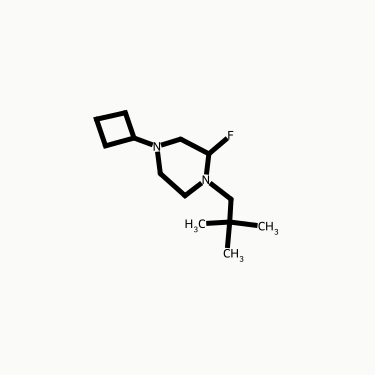 CC(C)(C)CN1CCN(C2CCC2)CC1F